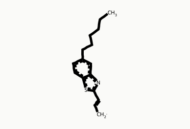 [CH2]/C=C/c1nc2cc(CCCCCC)ccc2s1